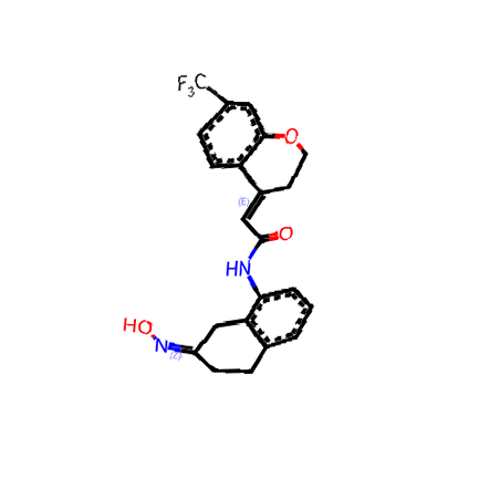 O=C(/C=C1\CCOc2cc(C(F)(F)F)ccc21)Nc1cccc2c1C/C(=N\O)CC2